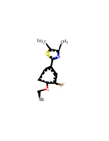 CCOC(=O)c1sc(-c2ccc(OCC(C)(C)C)c(Br)c2)nc1C